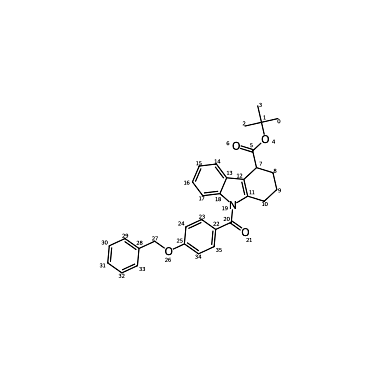 CC(C)(C)OC(=O)C1CCCc2c1c1ccccc1n2C(=O)c1ccc(OCc2ccccc2)cc1